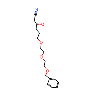 N#CCC(=O)CCCOCCOCCOCc1ccccc1